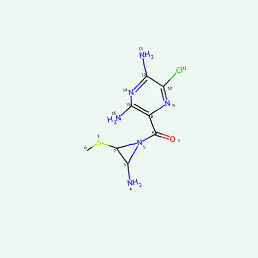 CSC1C(N)N1C(=O)c1nc(Cl)c(N)nc1N